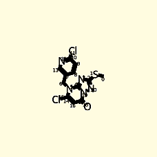 CSc1nc2n(Cc3ccc(Cl)nc3)c(Cl)cc(=O)n2n1